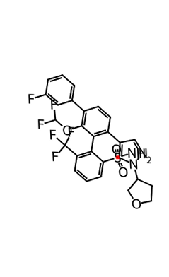 NS(=O)(=O)c1cccc(C(F)(F)F)c1-c1c(-c2cnn(C3CCOC3)c2)ccc(-c2cccc(F)c2)c1OC(F)F